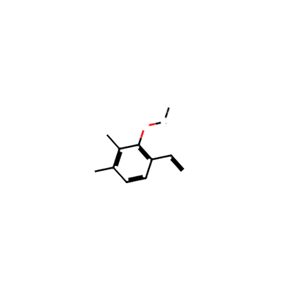 C=Cc1ccc(C)c(C)c1O[SiH2]C(C)(C)C